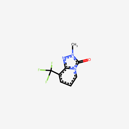 Cn1nc2c(C(F)(F)F)cccn2c1=O